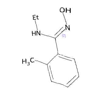 CCN/C(=N\O)c1ccccc1C